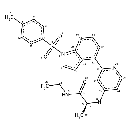 Cc1ccc(S(=O)(=O)n2ccc3c(-c4cc(N[C@@H](C)C(=O)NCC(F)(F)F)ccn4)ccnc32)cc1